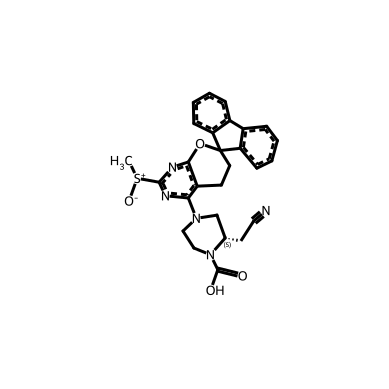 C[S+]([O-])c1nc2c(c(N3CCN(C(=O)O)[C@@H](CC#N)C3)n1)CCC1(O2)c2ccccc2-c2ccccc21